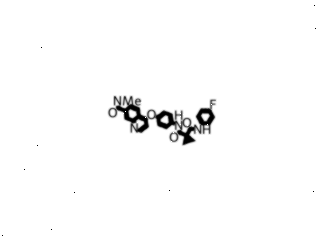 CNC(=O)c1ccc2c(Oc3ccc(NC(=O)C4(C(=O)Nc5ccc(F)cc5)CC4)cc3)ccnc2c1